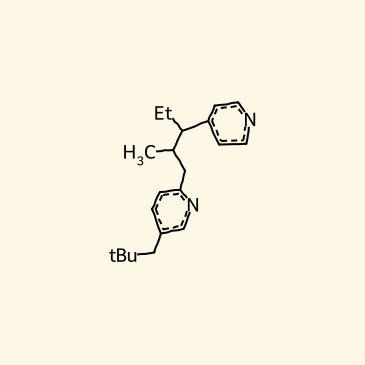 CCC(c1ccncc1)C(C)Cc1ccc(CC(C)(C)C)cn1